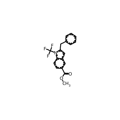 COC(=O)c1ccc2c(c1)cc(Cc1ccccc1)n2C(F)(F)F